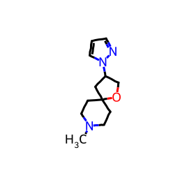 CN1CCC2(CC1)CC(n1cccn1)CO2